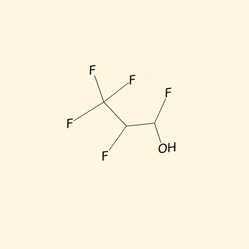 OC(F)C(F)C(F)(F)F